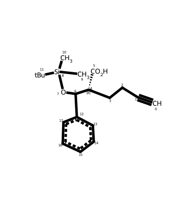 C#CCC[C@@H](C(=O)O)C(O[Si](C)(C)C(C)(C)C)c1ccccc1